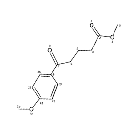 COC(=O)CCCC(=O)c1ccc(OC)cc1